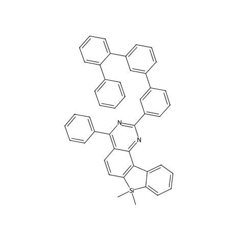 C[Si]1(C)c2ccccc2-c2c1ccc1c(-c3ccccc3)nc(-c3cccc(-c4cccc(-c5ccccc5-c5ccccc5)c4)c3)nc21